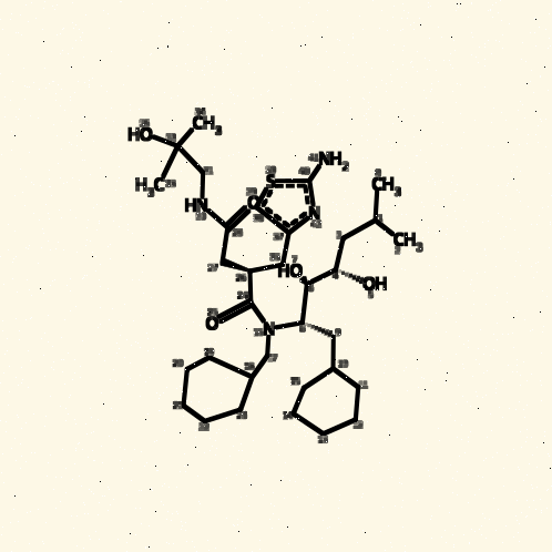 CC(C)C[C@H](O)[C@H](O)[C@H](CC1CCCCC1)N(CC1CCCCC1)C(=O)[C@@H](CC(=O)NCC(C)(C)O)Cc1csc(N)n1